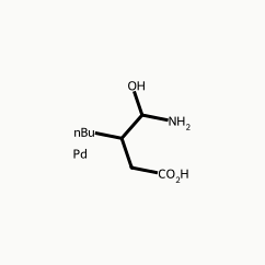 CCCCC(CC(=O)O)C(N)O.[Pd]